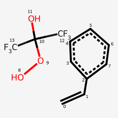 C=Cc1ccccc1.OOC(O)(C(F)(F)F)C(F)(F)F